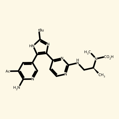 CC(=O)c1cc(-c2[nH]c(C(C)(C)C)nc2-c2ccnc(NC[C@H](C)N(C)C(=O)O)n2)cnc1N